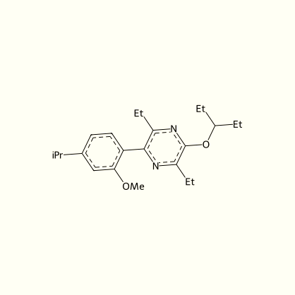 CCc1nc(-c2ccc(C(C)C)cc2OC)c(CC)nc1OC(CC)CC